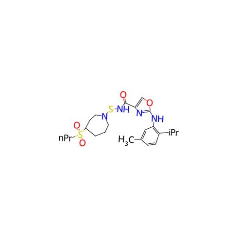 CCCS(=O)(=O)C1CCCN(SNC(=O)c2coc(Nc3cc(C)ccc3C(C)C)n2)CC1